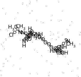 Cc1ncsc1-c1ccc(CNC(=O)[C@@H]2C[C@@H](O)CN2C(=O)[C@@H](NC(=O)CCOCCOCCOCCOCCOCCNc2ccc(S(=O)(=O)NC(=O)c3ccc(N4CCN(CC5=C(c6ccc(Cl)cc6)CC(C)(C)CC5)CC4)cc3-n3c4cc5cc[nH]c5nc4c(=O)n3C)cc2[N+](=O)[O-])C(C)(C)C)cc1